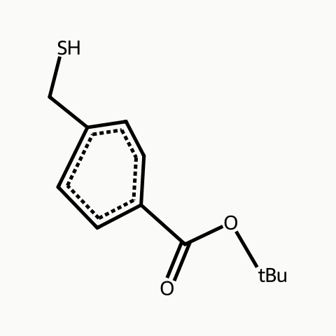 CC(C)(C)OC(=O)c1ccc(CS)cc1